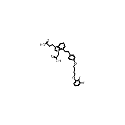 O=C(O)CCc1cn(CC(=O)O)c2c(/C=C/c3ccc(OCCCCOc4cccc(F)c4F)cc3)cccc12